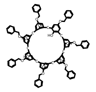 Oc1c2cc(OCc3ccccc3)cc1Cc1cc(OCc3ccccc3)cc(c1O)Cc1cc(OCc3ccccc3)cc(c1O)Cc1cc(OCc3ccccc3)cc(c1O)Cc1cc(OCc3ccccc3)cc(c1O)Cc1cc(OCc3ccccc3)cc(c1O)Cc1cc(OCc3ccccc3)cc(c1O)C2